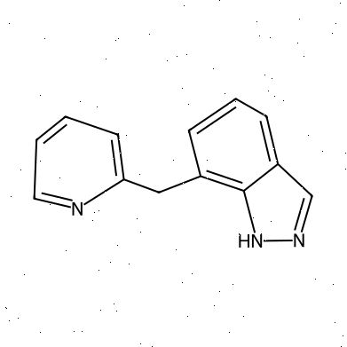 c1ccc(Cc2cccc3cn[nH]c23)nc1